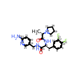 C[C@@H](C(=O)N[C@@H](Cc1ccc(F)c(F)c1)C(=O)NCc1ccc(N)nc1)N1CCCC1